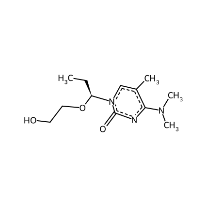 CC[C@H](OCCO)n1cc(C)c(N(C)C)nc1=O